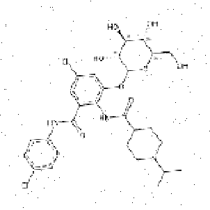 CC(C)N1CCC(C(=O)Nc2c(OC3O[C@H](CO)[C@@H](O)[C@H](O)[C@H]3O)cc(Cl)cc2C(=O)Nc2ccc(Cl)cn2)CC1